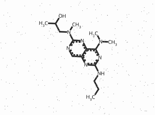 CCCNc1nc(N(C)C)c2nc(N(C)CC(C)O)ncc2n1